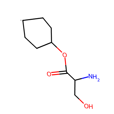 NC(CO)C(=O)OC1CC[CH]CC1